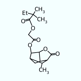 CCC(C)(C)C(=O)OCC(=O)OC1C2CC3C1OC(=O)C3C2C